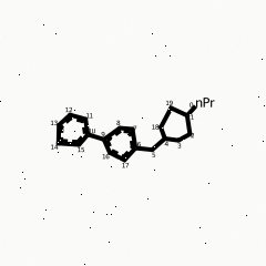 CCCC1CCC(Cc2ccc(-c3ccccc3)cc2)CC1